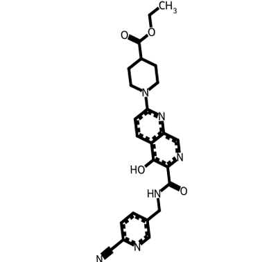 CCOC(=O)C1CCN(c2ccc3c(O)c(C(=O)NCc4ccc(C#N)nc4)ncc3n2)CC1